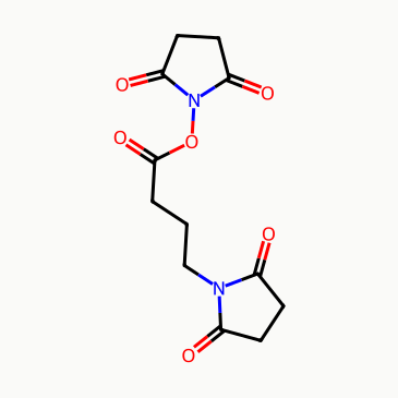 O=C(CCCN1C(=O)CCC1=O)ON1C(=O)CCC1=O